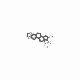 CC[C@@H]1CC2C3CCC45CC6(CCC4(O5)C3=CC[C@]2(C)C1C(C)=O)OCCO6